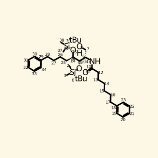 CC(C)(C)[Si](C)(C)O[C@@H]([C@H](CO)NC(=O)CCCCCCc1ccccc1)[C@@H](CCCCc1ccccc1)O[Si](C)(C)C(C)(C)C